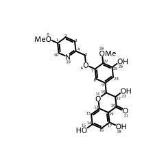 COc1ccc(COc2cc(C3Oc4cc(O)cc(O)c4C(=O)C3O)cc(O)c2OC)nc1